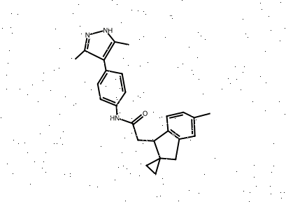 Cc1ccc2c(c1)CC1(CC1)C2CC(=O)Nc1ccc(-c2c(C)n[nH]c2C)cc1